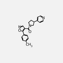 Cc1ccc(-c2oncc2C(=O)N2CCC(c3ccncc3)C2)cc1